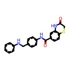 O=C1CSc2ccc(C(=O)Nc3ccc(CNc4ccccc4)cc3)cc2N1